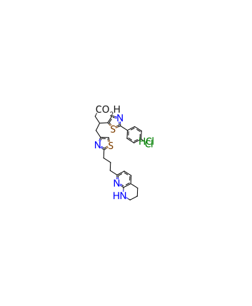 Cl.O=C(O)CC(Cc1csc(CCCc2ccc3c(n2)NCCC3)n1)c1cnc(-c2ccc(Cl)cc2)s1